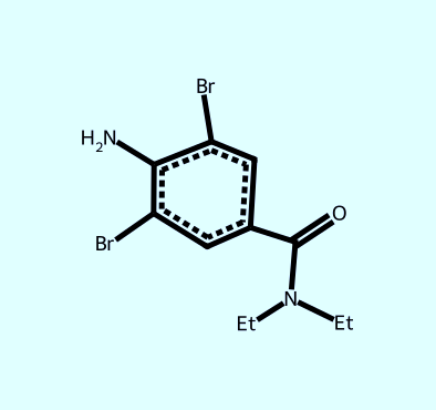 CCN(CC)C(=O)c1cc(Br)c(N)c(Br)c1